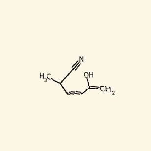 C=C(O)/C=C\C(C)C#N